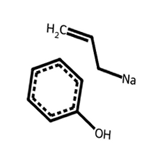 C=C[CH2][Na].Oc1ccccc1